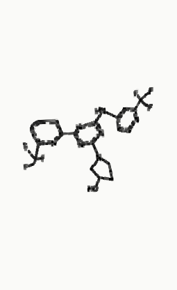 OC1CCN(c2nc(Nc3ccnc(C(F)(F)F)c3)nc(-c3cccc(C(F)(F)F)n3)n2)C1